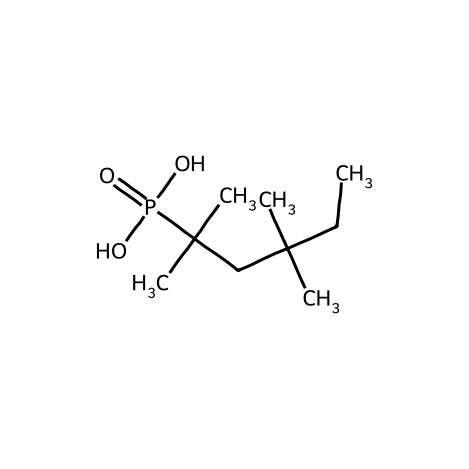 CCC(C)(C)CC(C)(C)P(=O)(O)O